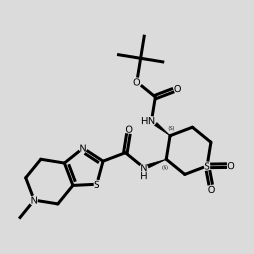 CN1CCc2nc(C(=O)N[C@@H]3CS(=O)(=O)CC[C@@H]3NC(=O)OC(C)(C)C)sc2C1